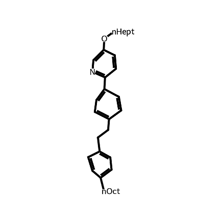 CCCCCCCCc1ccc(CCc2ccc(-c3ccc(OCCCCCCC)cn3)cc2)cc1